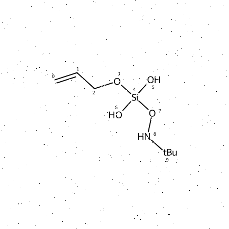 C=CCO[Si](O)(O)ONC(C)(C)C